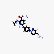 NCC1CCN(c2ccc(Nc3ncc(C(N)=O)c(NC4CC4)n3)cc2)CC1